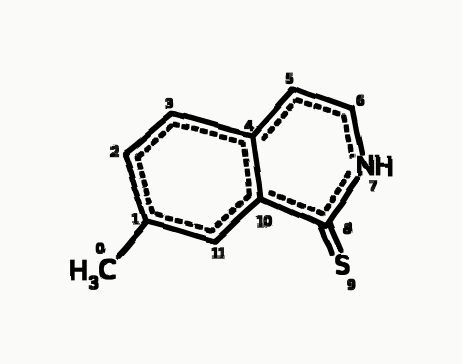 Cc1ccc2cc[nH]c(=S)c2c1